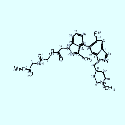 COC(=O)CNC(=O)CNC(=O)Cn1nc(C)c2c(-c3cc4c(cnn4CC4CCN(C)CC4)cc3F)cccc21